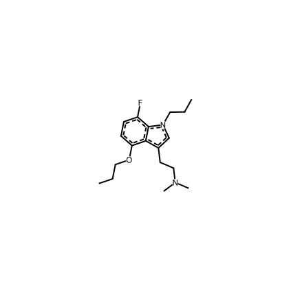 CCCOc1ccc(F)c2c1c(CCN(C)C)cn2CCC